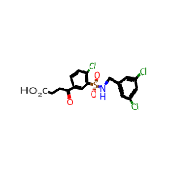 O=C(O)CCC(=O)c1ccc(Cl)c(S(=O)(=O)NCc2cc(Cl)cc(Cl)c2)c1